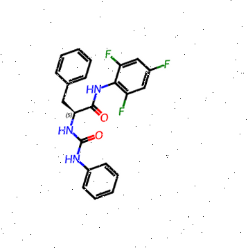 O=C(Nc1ccccc1)N[C@@H](Cc1ccccc1)C(=O)Nc1c(F)cc(F)cc1F